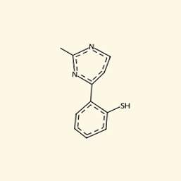 Cc1nccc(-c2ccccc2S)n1